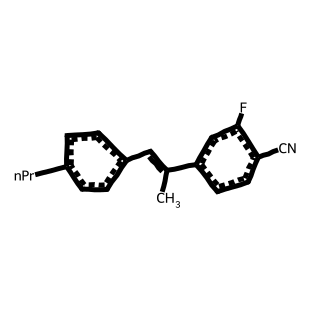 CCCc1ccc(/C=C(\C)c2ccc(C#N)c(F)c2)cc1